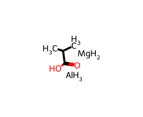 CC(C)C(=O)O.[AlH3].[MgH2]